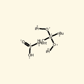 CCCCCS(=O)O.CCCC[Si](C)(OC(C)C)OC(C)C